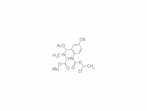 CC(=O)OC(c1cc(C#N)ccc1NC(=O)OC(C)Cl)N(C)CC(=O)OC(C)(C)C